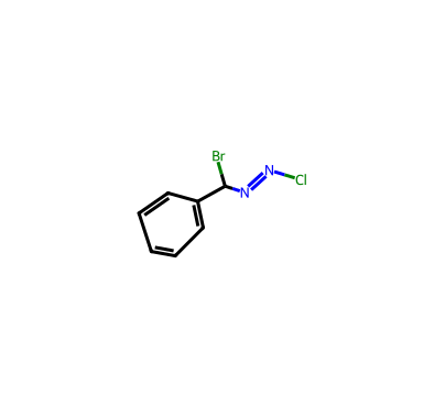 ClN=NC(Br)c1ccccc1